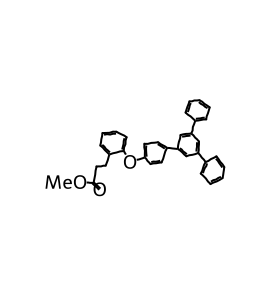 COC(=O)CCc1ccccc1Oc1ccc(-c2cc(-c3ccccc3)cc(-c3ccccc3)c2)cc1